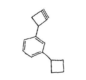 C1#CC(c2cccc(C3CCC3)c2)C1